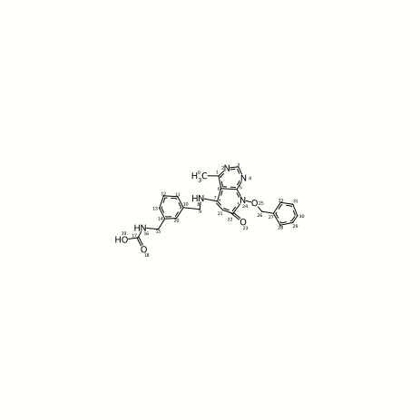 Cc1ncnc2c1c(NCc1cccc(CNC(=O)O)c1)cc(=O)n2OCc1ccccc1